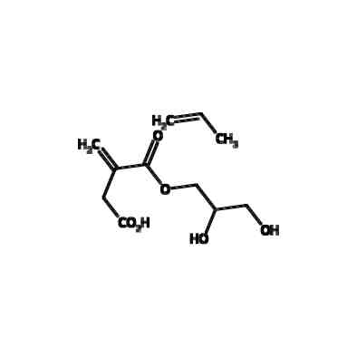 C=C(CC(=O)O)C(=O)OCC(O)CO.C=CC